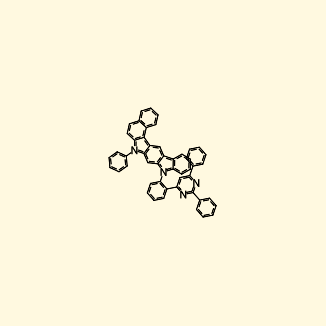 c1ccc(-c2cc(-c3ccccc3-n3c4ccccc4c4cc5c6c7ccccc7ccc6n(-c6ccccc6)c5cc43)nc(-c3ccccc3)n2)cc1